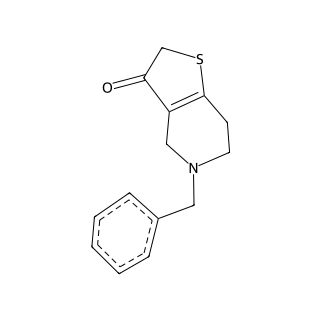 O=C1CSC2=C1CN(Cc1ccccc1)CC2